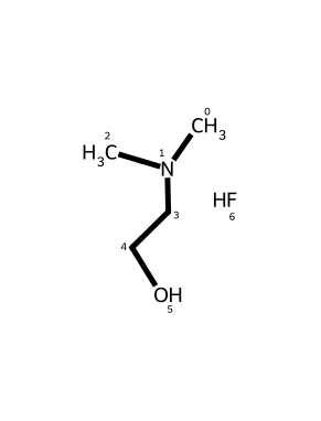 CN(C)CCO.F